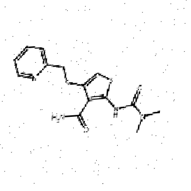 CN(C)C(=O)Nc1scc(SCc2ccccn2)c1C(N)=O